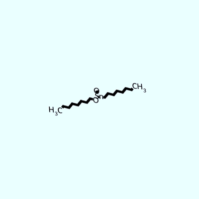 CCCCCCCC[O][Sn](=[O])[CH2]CCCCCCC